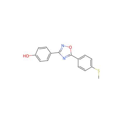 CSc1ccc(-c2nc(-c3ccc(O)cc3)no2)cc1